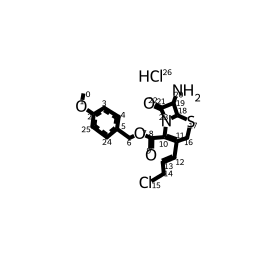 COc1ccc(COC(=O)C2=C(C=CCCl)CSC3C(N)C(=O)N23)cc1.Cl